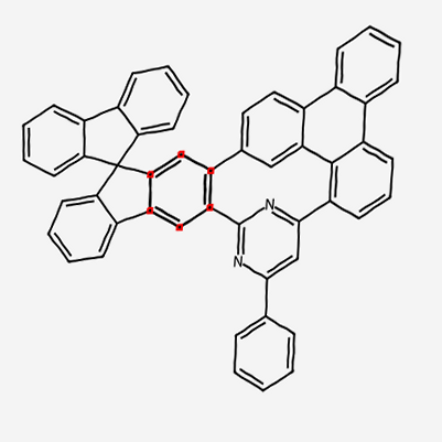 c1ccc(-c2cc(-c3cccc4c5ccccc5c5ccc(-c6ccc7c(c6)C6(c8ccccc8-c8ccccc86)c6ccccc6-7)cc5c34)nc(-c3ccccc3)n2)cc1